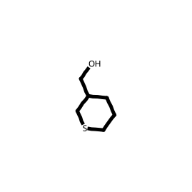 OCC1CCCSC1